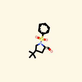 CC(C)(C)C1C[C@@H]([C]=O)N(S(=O)(=O)c2ccccc2)C1